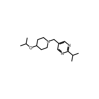 CC(C)OC1CCN(Cc2cnc(C(C)C)nc2)CC1